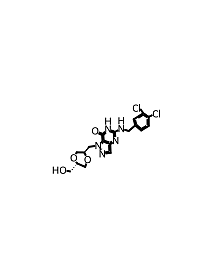 O=c1[nH]c(NCc2ccc(Cl)c(Cl)c2)nc2cnn(C[C@@H]3CO[C@@H](CO)CO3)c12